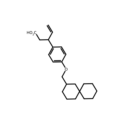 C=CC(CC(=O)O)c1ccc(OCC2CCCC3(CCCCC3)C2)cc1